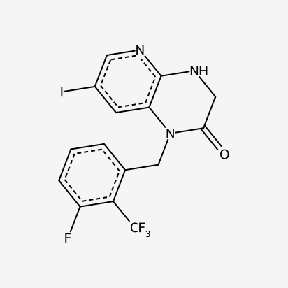 O=C1CNc2ncc(I)cc2N1Cc1cccc(F)c1C(F)(F)F